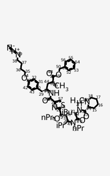 CCCO[C@H](C[C@H](C(C)C)N(CCC)C(=O)[C@@H](NC(=O)[C@H]1CCCCN1C)[C@@H](C)CC)c1nc(C(=O)N[C@@H](Cc2ccc(OCCCCN=[N+]=[N-])cc2)C[C@H](C)C(=O)OCc2ccccc2)cs1